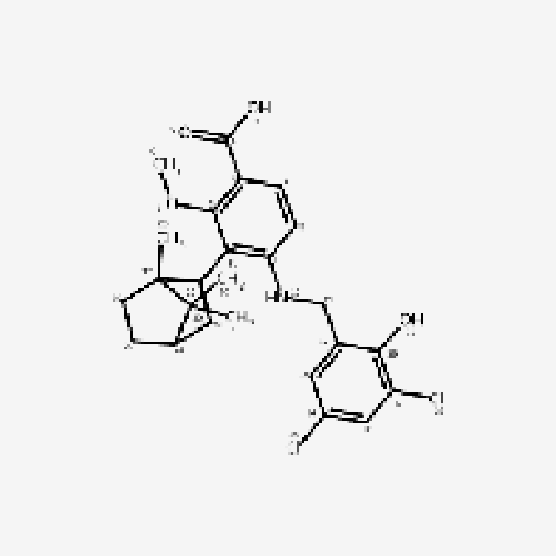 COc1c(C(=O)O)ccc(NCc2cc(Cl)cc(Cl)c2O)c1C1CC2CCC1(C)C2(C)C